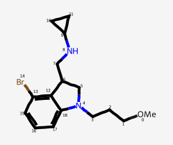 COCCCN1CC(CNC2CC2)c2c(Br)cccc21